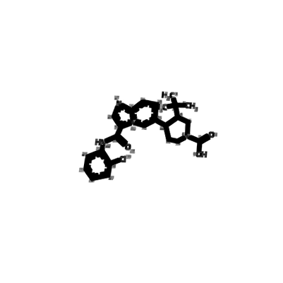 CC(C)(C)C1CN(C(=O)O)CCC1c1ccc2ncc(C(=O)Nc3ccccc3Cl)n2c1